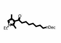 CCCCCCCCCCCCCCCCCC(=O)c1c(C)cn(CC)c1C